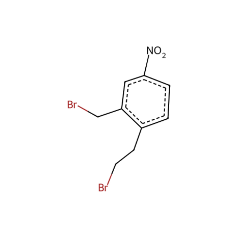 O=[N+]([O-])c1ccc(CCBr)c(CBr)c1